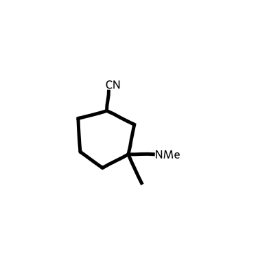 CNC1(C)CCCC(C#N)C1